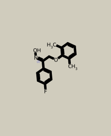 Cc1cccc(C)c1OC/C(=N\O)c1ccc(F)cc1